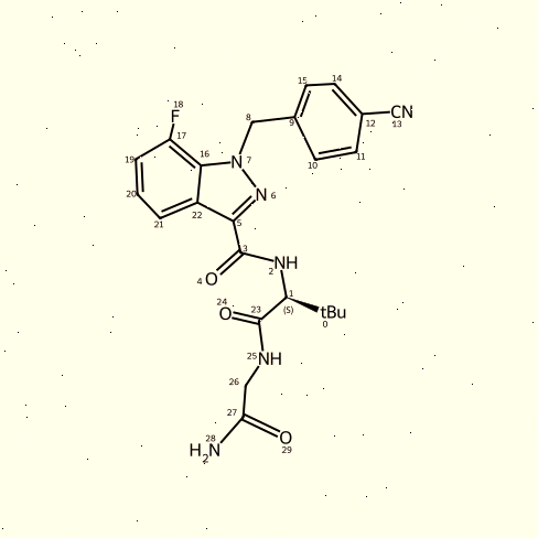 CC(C)(C)[C@H](NC(=O)c1nn(Cc2ccc(C#N)cc2)c2c(F)cccc12)C(=O)NCC(N)=O